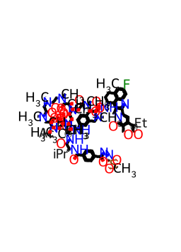 CC[C@H]1C(=O)OCc2c1cc1n(c2=O)Cc2c-1nc1cc(F)c(C)c3c1c2[C@@H](NC(=O)OCc1ccc(NC(=O)[C@H](C)NC(=O)C(NC(=O)c2ccc(-c4nnc(S(C)(=O)=O)o4)cc2)C(C)C)cc1CN(C)C(=O)CN(C)C(=O)CN(C)C(=O)CN(C)C(=O)CN(C)C(=O)CN(C)C(=O)CN(C)C(=O)CN(C)C(=O)CN(C)C(=O)CN(C)C(=O)CN(C)C(C)=O)CC3